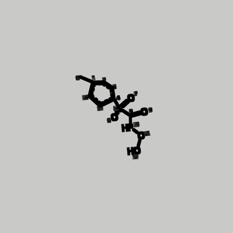 Cc1ccc(S(=O)(=O)C(=O)POO)cc1